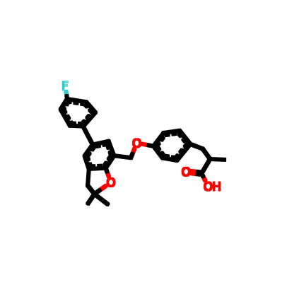 CC(Cc1ccc(OCc2cc(-c3ccc(F)cc3)cc3c2OC(C)(C)C3)cc1)C(=O)O